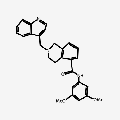 COc1cc(NC(=O)c2cccc3c2CCN(Cc2ccnc4ccccc24)C3)cc(OC)c1